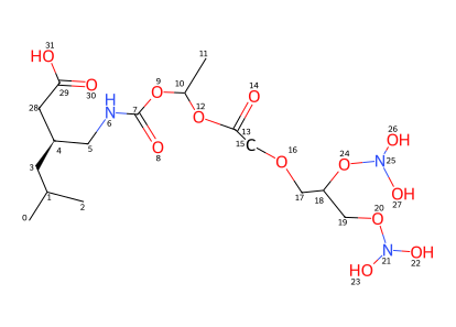 CC(C)C[C@H](CNC(=O)OC(C)OC(=O)COCC(CON(O)O)ON(O)O)CC(=O)O